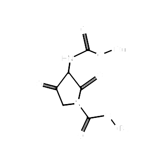 CC(C)(C)OC(=O)NC1C(=O)CN(C(=O)OC(C)(C)C)C1=O